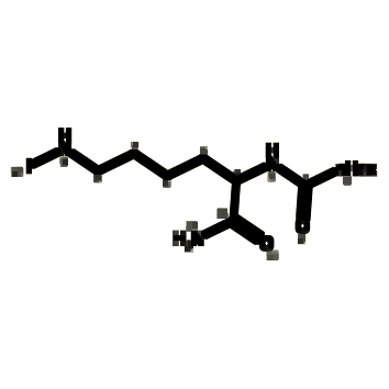 CCCCCCC(=O)NC(CCCCNI)C(N)=O